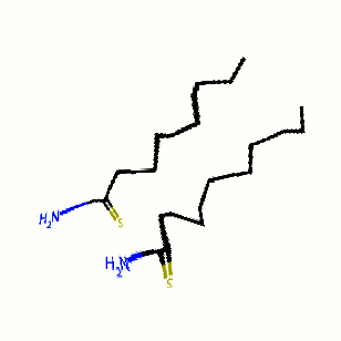 CCCCCCCC(N)=S.CCCCCCCC(N)=S